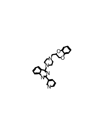 c1cncc(-c2nc(N3CCN(CC4COc5ccccc5O4)CC3)c3ccccc3n2)c1